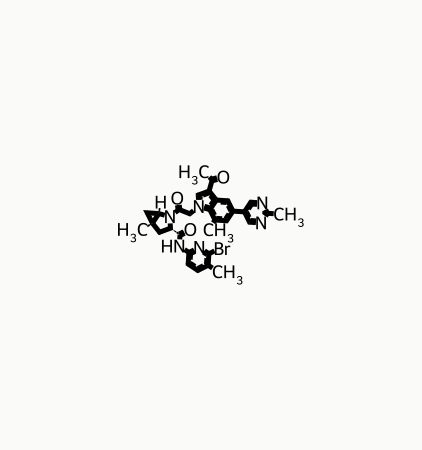 CC(=O)c1cn(CC(=O)N2[C@H](C(=O)Nc3ccc(C)c(Br)n3)C[C@@]3(C)C[C@@H]23)c2c(C)cc(-c3cnc(C)nc3)cc12